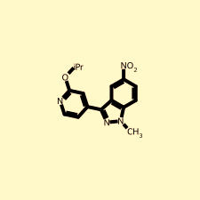 CC(C)Oc1cc(-c2nn(C)c3ccc([N+](=O)[O-])cc23)ccn1